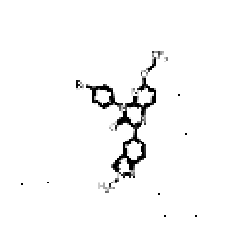 Cn1cc2cc(-c3nc4ccc(OCC(F)(F)F)nc4n(-c4ccc(Br)cc4)c3=O)ccc2n1